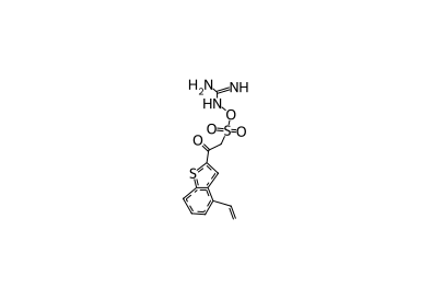 C=Cc1cccc2sc(C(=O)CS(=O)(=O)ONC(=N)N)cc12